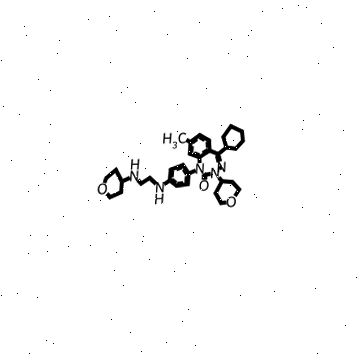 Cc1ccc2c(c1)N(c1ccc(NCCNC3CCOCC3)cc1)C(=O)N(C1CCOCC1)N=C2C1CCCCC1